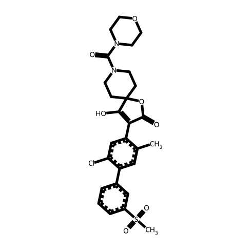 Cc1cc(-c2cccc(S(C)(=O)=O)c2)c(Cl)cc1C1=C(O)C2(CCN(C(=O)N3CCOCC3)CC2)OC1=O